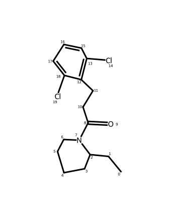 CCC1CCCCN1C(=O)CCc1c(Cl)cccc1Cl